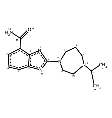 CC(C)N1CCCN(c2nc3c(C(N)=O)cccc3[nH]2)CC1